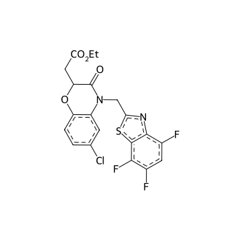 CCOC(=O)CC1Oc2ccc(Cl)cc2N(Cc2nc3c(F)cc(F)c(F)c3s2)C1=O